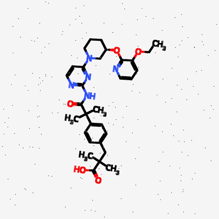 CCOc1cccnc1O[C@@H]1CCCN(c2ccnc(NC(=O)C(C)(C)c3ccc(CC(C)(C)C(=O)O)cc3)n2)C1